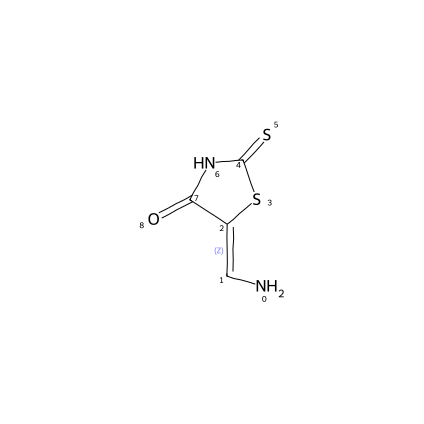 N/C=C1\SC(=S)NC1=O